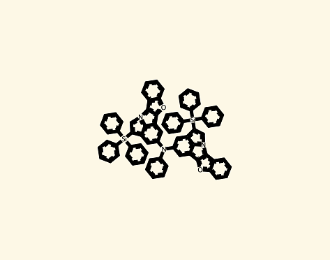 c1ccc(N(c2cc3c([Si](c4ccccc4)(c4ccccc4)c4ccccc4)cn4c3c(c2)c2oc3ccccc3c24)c2cc3c([Si](c4ccccc4)(c4ccccc4)c4ccccc4)cn4c3c(c2)c2oc3ccccc3c24)cc1